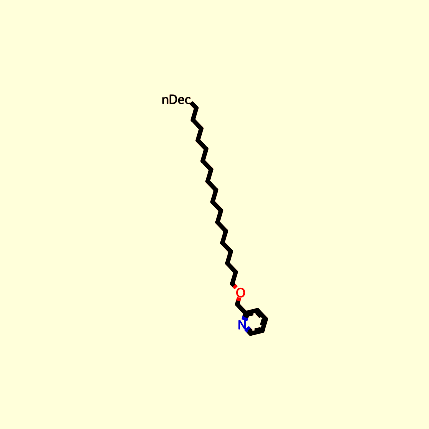 CCCCCCCCCCCCCCCCCCCCCCCCCCCCOCc1ccccn1